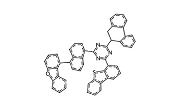 c1ccc2c(c1)CC(c1nc(-c3cccc4c(-c5cccc6oc7ccccc7c56)cccc34)nc(-c3cccc4c3sc3ccccc34)n1)c1ccccc1-2